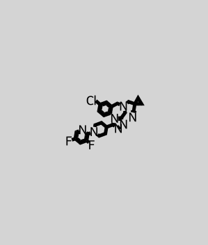 N#CC1(CN2Cc3cc(Cl)ccc3-n3c(nnc3C3CCN(c4ncc(F)cc4F)CC3)C2)CC1